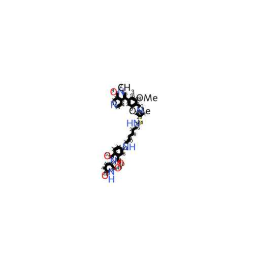 COc1cc(-c2cn(C)c(=O)c3cnccc23)cc(OC)c1CN1CC(SNCCCCCCNc2ccc3c(c2)C(=O)N(C2CCC(=O)NC2=O)C3=O)C1